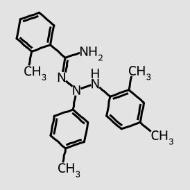 Cc1ccc(N(/N=C(\N)c2ccccc2C)Nc2ccc(C)cc2C)cc1